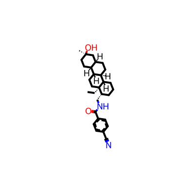 CC[C@]12CC[C@H]3[C@@H](CC[C@@H]4C[C@](C)(O)CC[C@@H]43)[C@@H]1CCC[C@@H]2CNC(=O)c1ccc(C#N)cc1